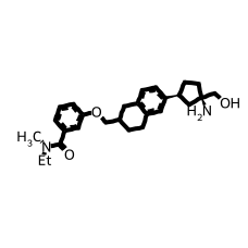 CCN(C)C(=O)c1cccc(OCC2CCc3cc([C@H]4CC[C@](N)(CO)C4)ccc3C2)c1